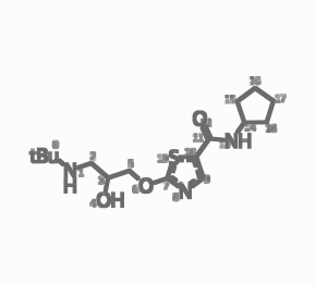 CC(C)(C)NCC(O)COc1ncc(C(=O)NC2CCCC2)s1